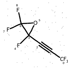 FC(F)(F)C#CC1(F)OC1(F)F